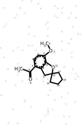 COc1ccc(C(C)=O)c2c1OC1(CCCC1)C2